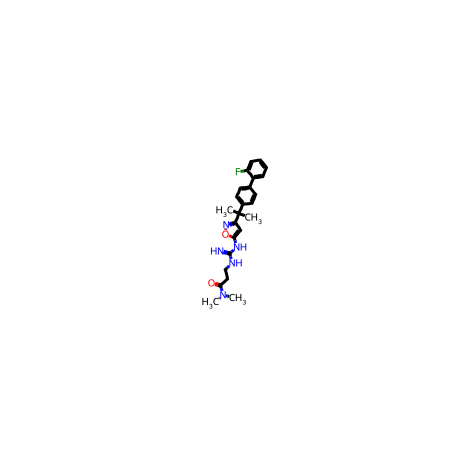 CN(C)C(=O)CCNC(=N)Nc1cc(C(C)(C)c2ccc(-c3ccccc3F)cc2)no1